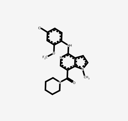 Cn1ccc2c(Nc3ccc(Cl)cc3OC(F)(F)F)ncc(C(=O)N3CCCCC3)c21